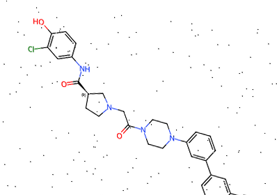 CCc1cccc(-c2cccc(N3CCN(C(=O)CN4CC[C@@H](C(=O)Nc5ccc(O)c(Cl)c5)C4)CC3)c2)c1